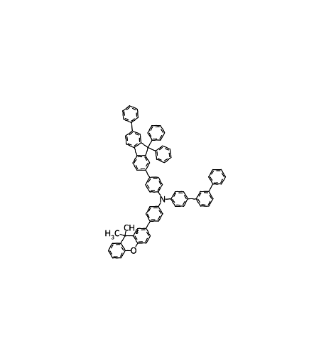 CC1(C)c2ccccc2Oc2ccc(-c3ccc(N(c4ccc(-c5cccc(-c6ccccc6)c5)cc4)c4ccc(-c5ccc6c(c5)C(c5ccccc5)(c5ccccc5)c5cc(-c7ccccc7)ccc5-6)cc4)cc3)cc21